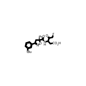 CC(C)[C@]1(C(=O)NC(CC(=O)O)C(=O)CF)CC(c2cccc(C(C)(C)C)c2)=NO1